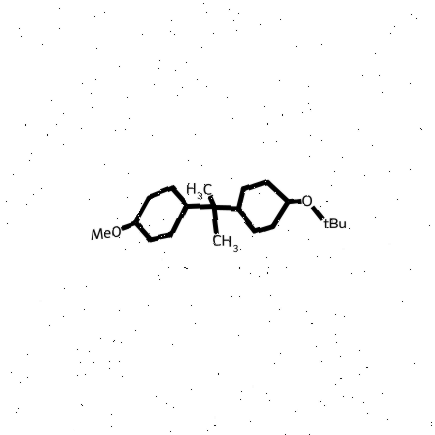 COC1CCC(C(C)(C)C2CCC(OC(C)(C)C)CC2)CC1